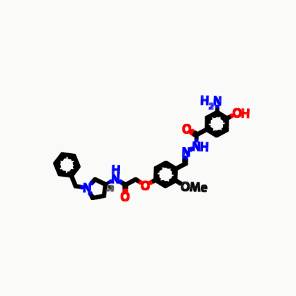 COc1cc(OCC(=O)N[C@H]2CCN(Cc3ccccc3)C2)ccc1C=NNC(=O)c1ccc(O)c(N)c1